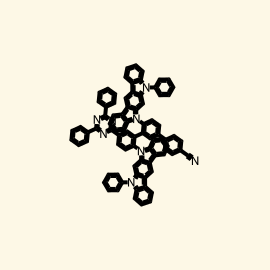 N#Cc1ccc(-c2ccc(-n3c4ccccc4c4cc5c6ccccc6n(-c6ccccc6)c5cc43)c(-c3cc(-c4nc(-c5ccccc5)nc(-c5ccccc5)n4)ccc3-n3c4ccccc4c4cc5c6ccccc6n(-c6ccccc6)c5cc43)c2)cc1